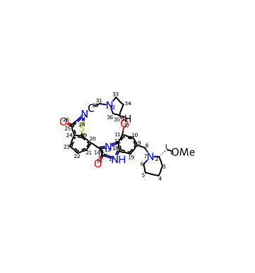 COC[C@@H]1CCCCN1Cc1cc2c3nc(c(=O)[nH]c3c1)-c1cccc3c(=O)n(sc13)CCN1CC[C@@H](C1)O2